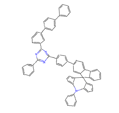 c1ccc(-c2ccc(-c3cccc(-c4nc(-c5ccccc5)nc(-c5ccc(-c6ccc7c(c6)C6(c8ccccc8-7)c7ccccc7N(c7ccccc7)c7ccccc76)cc5)n4)c3)cc2)cc1